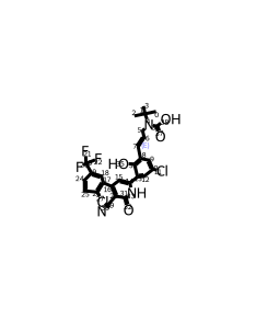 CC(C)(C)N(C/C=C/c1cc(Cl)cc(-c2cc(-c3cc(C(F)(F)F)ccc3Cl)c(C#N)c(=O)[nH]2)c1O)C(=O)O